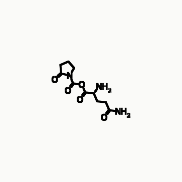 NC(=O)CC[C@H](N)C(=O)OC(=O)N1CCCC1=O